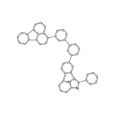 c1ccc(-c2nc3cccc4c5ccc(-c6cccc(-c7cccc(-c8ccc9c%10c(cccc8%10)-c8ccccc8-9)c7)c6)cc5c2n34)cc1